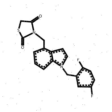 O=C1CSC(=O)N1Cc1cccc2c1ccn2Cc1cc(F)ccc1F